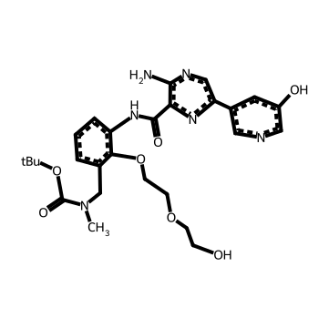 CN(Cc1cccc(NC(=O)c2nc(-c3cncc(O)c3)cnc2N)c1OCCOCCO)C(=O)OC(C)(C)C